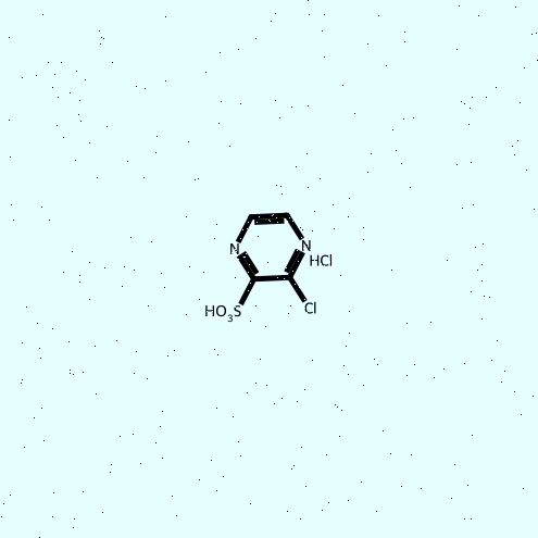 Cl.O=S(=O)(O)c1nccnc1Cl